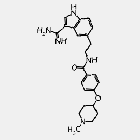 CN1CCC(Oc2ccc(C(=O)NCCc3ccc4[nH]cc(C(=N)N)c4c3)cc2)CC1